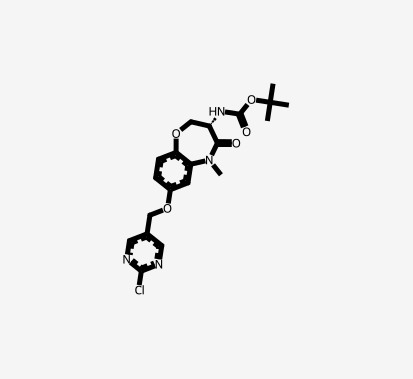 CN1C(=O)[C@@H](NC(=O)OC(C)(C)C)COc2ccc(OCc3cnc(Cl)nc3)cc21